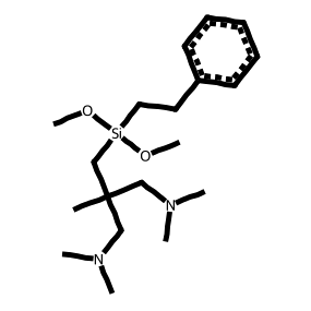 CO[Si](CCc1ccccc1)(CC(C)(CN(C)C)CN(C)C)OC